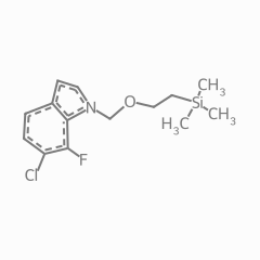 C[Si](C)(C)CCOCn1ccc2ccc(Cl)c(F)c21